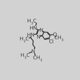 CCNc1nc2cc(OC)c(Cl)cc2nc1NC(C)CCCN(CC)CC